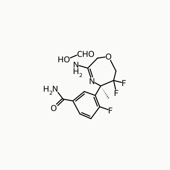 C[C@]1(c2cc(C(N)=O)ccc2F)N=C(N)COCC1(F)F.O=CO